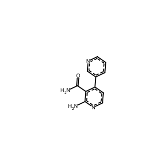 NC(=O)c1c(-c2cccnc2)ccnc1N